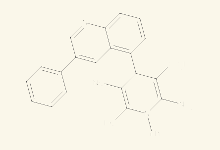 CCCN1C(C)=C(C#N)C(c2cccc3ncc(-c4ccccc4)cc23)C(C(=O)O)=C1N